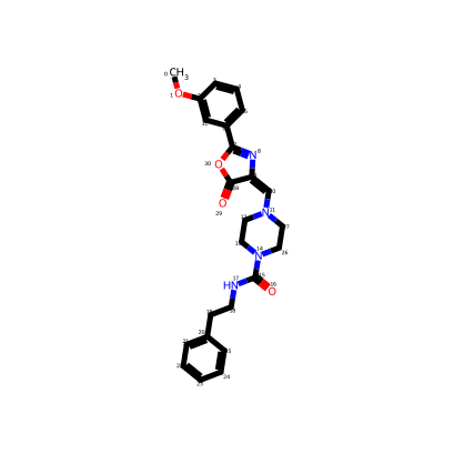 COc1cccc(C2=NC(=CN3CCN(C(=O)NCCc4ccccc4)CC3)C(=O)O2)c1